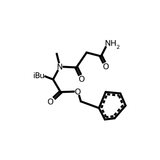 CCC(C)C(C(=O)OCc1ccccc1)N(C)C(=O)CC(N)=O